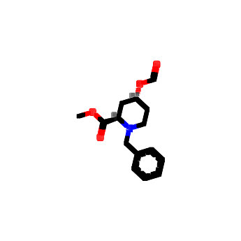 COC(=O)[C@H]1C[C@H](OC=O)CCN1Cc1ccccc1